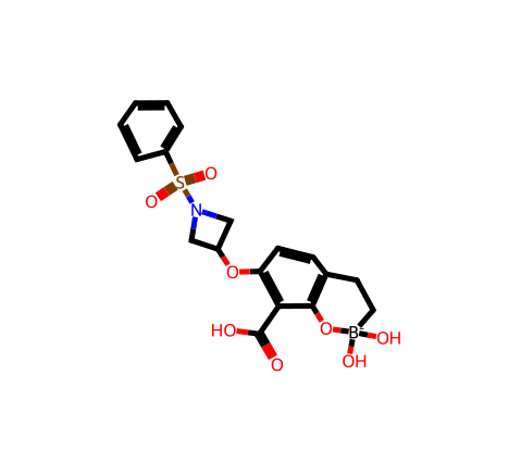 O=C(O)c1c(OC2CN(S(=O)(=O)c3ccccc3)C2)ccc2c1O[B-](O)(O)CC2